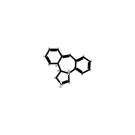 C1=CC2=Cc3ccccc3N3C=NCC3C2C=C1